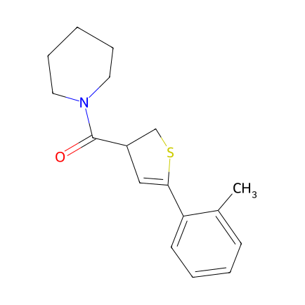 Cc1ccccc1C1=CC(C(=O)N2CCCCC2)CS1